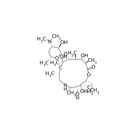 CC[C@H]1OC(=O)[C@H](C)[C@@H](O)[C@H](C)[C@@H](O[C@@H]2O[C@H](C)C[C@H](N(C)C)[C@H]2O)[C@](C)(O)C[C@@H](C)CNC(C)[C@@H](O)[C@]1(C)O